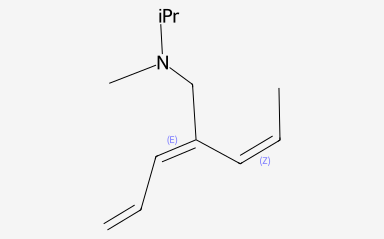 C=C/C=C(\C=C/C)CN(C)C(C)C